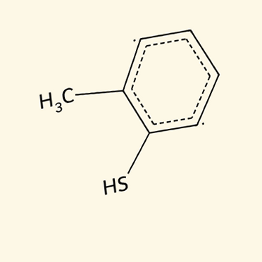 Cc1[c]cc[c]c1S